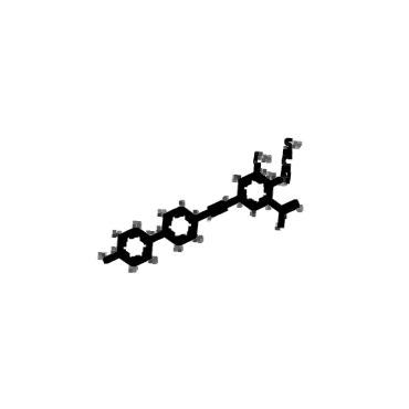 C=C(C)c1cc(C#Cc2ccc(-c3ccc(C)cc3)cc2)cc(F)c1N=C=S